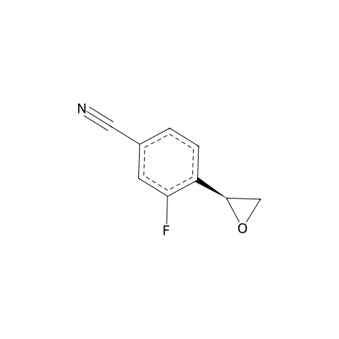 N#Cc1ccc([C@H]2CO2)c(F)c1